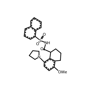 COc1ccc(N2CCCC2)c2c1CCCC2C(=O)NS(=O)(=O)c1cccc2ccccc12